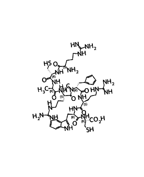 C[C@@H](NC(=O)[C@H](CS)NC(=O)[C@@H](N)CCCNC(=N)N)C(=O)N[C@@H](CCCNC(=N)N)C(=O)N(C)[C@H](Cc1ccccc1)C(=O)N[C@@H](CCCNC(=N)N)C(=O)N[C@H](Cc1c[nH]c2ccccc12)C(=O)N[C@@H](CS)C(=O)O